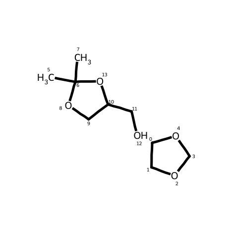 C1COCO1.CC1(C)OCC(CO)O1